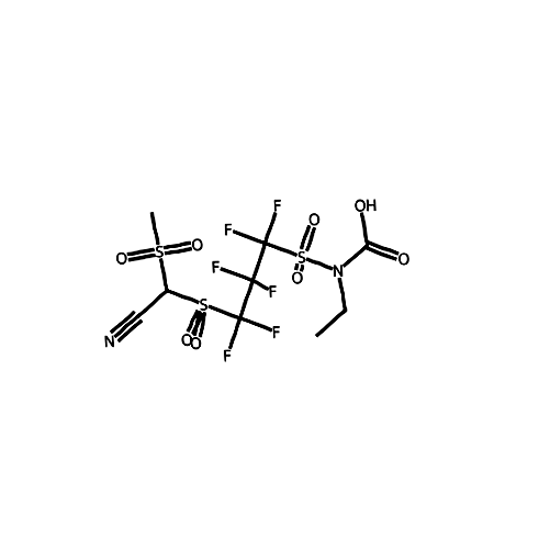 CCN(C(=O)O)S(=O)(=O)C(F)(F)C(F)(F)C(F)(F)S(=O)(=O)C(C#N)S(C)(=O)=O